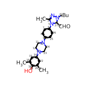 CCC(C)N1N=C(C)N(c2ccc(N3CCN(c4cc(C)c(O)c(C)c4)CC3)cc2)C1C=O